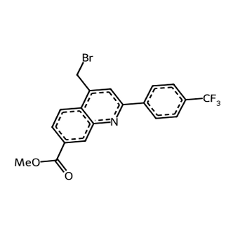 COC(=O)c1ccc2c(CBr)cc(-c3ccc(C(F)(F)F)cc3)nc2c1